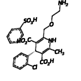 CC1=C(C(=O)O)[C@H](c2ccccc2Cl)C(C(=O)O)=C(COCCN)N1.O=S(=O)(O)c1ccccc1